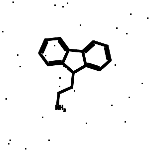 NCCC1c2ccccc2-c2ccccc21